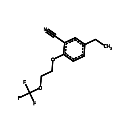 CCc1ccc(OCCOC(F)(F)F)c(C#N)c1